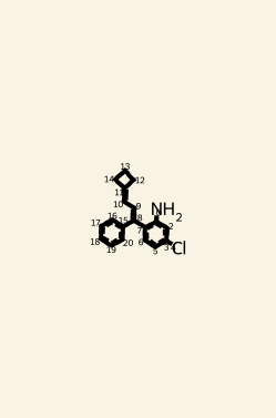 Nc1cc(Cl)ccc1/C(=C/C=C1CCC1)c1ccccc1